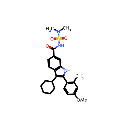 COc1ccc(-c2[nH]c3cc(C(=O)NS(=O)(=O)N(C)C)ccc3c2C2CCCCC2)c(C)c1